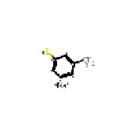 FC(F)(F)c1cccc([S-])c1.[Na+]